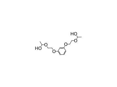 CC(O)OCCOc1cccc(OCCOC(C)O)c1